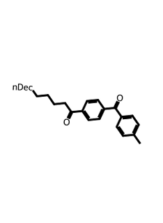 CCCCCCCCCCCCCCC(=O)c1ccc(C(=O)c2ccc(C)cc2)cc1